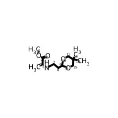 COC(=O)[C@H](C)NCCC1OCC(C)(C)CO1